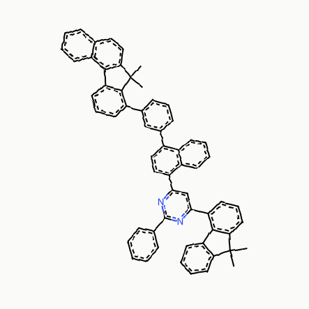 CC1(C)c2ccccc2-c2c(-c3cc(-c4ccc(-c5cccc(-c6cccc7c6C(C)(C)c6ccc8ccccc8c6-7)c5)c5ccccc45)nc(-c4ccccc4)n3)cccc21